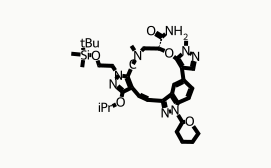 CC(C)Oc1nn(CCO[Si](C)(C)C(C)(C)C)c2c1C=Cc1nn(C3CCCCO3)c3ccc(cc13)-c1cnn(C)c1O[C@@H](C(N)=O)CN(C)C2